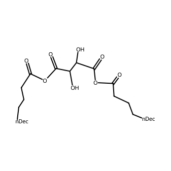 CCCCCCCCCCCCCC(=O)OC(=O)C(O)C(O)C(=O)OC(=O)CCCCCCCCCCCCC